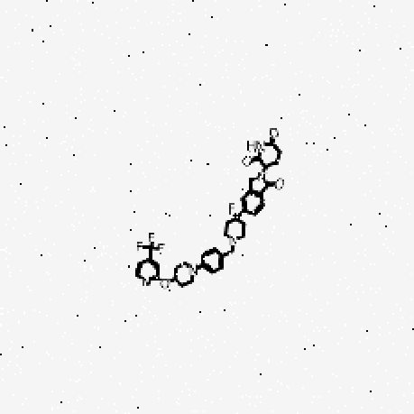 O=C1CCC(N2Cc3cc(C4(F)CCN(Cc5ccc(N6CCC(Oc7cc(C(F)(F)F)ccn7)CC6)cc5)CC4)ccc3C2=O)C(=O)N1